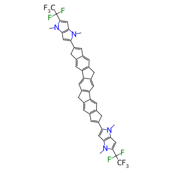 Cn1c(C2=Cc3cc4c(cc3C2)-c2cc3c(cc2C4)-c2cc4c(cc2C3)C=C(c2cc3c(cc(C(F)(F)C(F)(F)F)n3C)n2C)C4)cc2c1cc(C(F)(F)C(F)(F)F)n2C